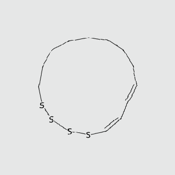 C1=C\SSSSCCCCCCCC/C=C/1